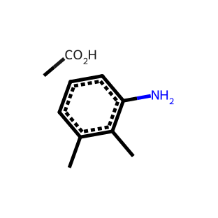 CC(=O)O.Cc1cccc(N)c1C